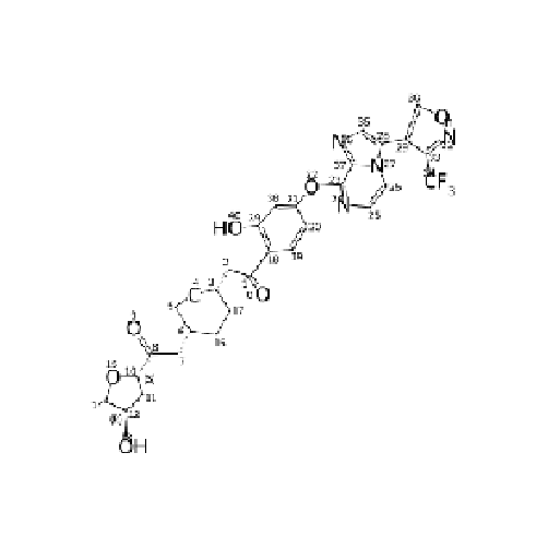 O=C(C[C@H]1CC[C@@H](CC(=O)[C@@H]2C[C@@H](O)CO2)CC1)c1ccc(Oc2nccn3c(-c4conc4C(F)(F)F)cnc23)cc1O